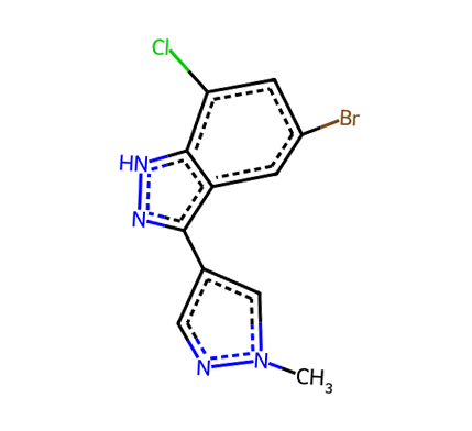 Cn1cc(-c2n[nH]c3c(Cl)cc(Br)cc23)cn1